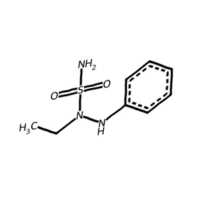 CCN(Nc1ccccc1)S(N)(=O)=O